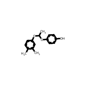 Cc1ccc(OC(C)Oc2ccc(O)cc2)cc1C